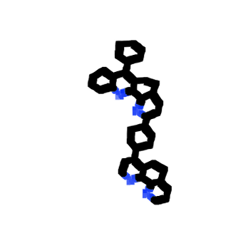 c1ccc(-c2c3ccccc3nc3c2ccc2ccc(-c4ccc(-c5ccnc6c5ccc5cccnc56)cc4)nc23)cc1